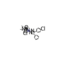 CCN(CC)S(=O)(=O)/N=C(\Cl)N1CC(c2ccccc2)C(c2ccc(Cl)cc2)=N1